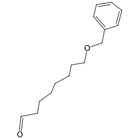 O=CCCCCCCCOCc1ccccc1